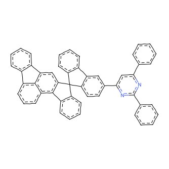 c1ccc(-c2cc(-c3ccc4c(c3)-c3ccccc3C43c4ccccc4-c4c3cc3c5c(cccc45)-c4ccccc4-3)nc(-c3ccccc3)n2)cc1